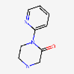 O=C1C[N]CCN1c1ccccn1